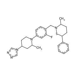 CC1CCC(c2ccccc2)SN1Cc1ccc(N2CCC(n3cnnc3)CC2C)cc1F